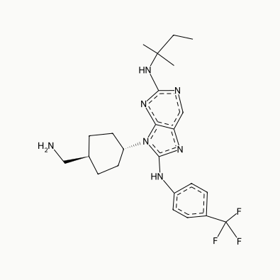 CCC(C)(C)Nc1ncc2nc(Nc3ccc(C(F)(F)F)cc3)n([C@H]3CC[C@H](CN)CC3)c2n1